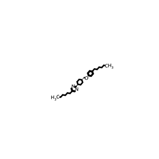 CCCCCCc1ccc(OC[C@H]2CC[C@H](c3ncc(CCCCCC)cn3)CC2)cc1